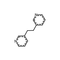 [c]1ccncc1CCc1cccnc1